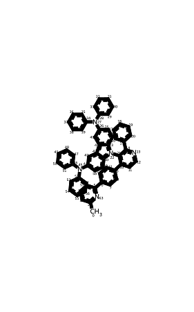 Cc1cccc(-c2ccc(-c3ccnc(-c4ccccc4)c3-n3c4ccc(N(c5ccccc5)c5ccccc5)cc4c4cc(N(c5ccccc5)c5ccccc5)ccc43)cc2)n1